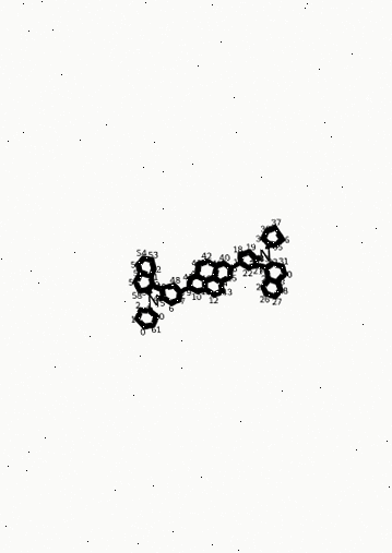 c1ccc(-n2c3ccc(-c4cc5ccc6cc(-c7ccc8c(c7)c7c9ccccc9ccc7n8-c7ccccc7)cc7ccc(c4)c5c67)cc3c3c4ccccc4ccc32)cc1